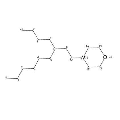 CCCCCCC(CCCC)CCN1CCOCC1